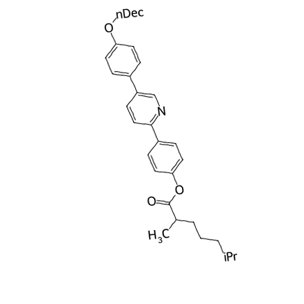 CCCCCCCCCCOc1ccc(-c2ccc(-c3ccc(OC(=O)C(C)CCCC(C)C)cc3)nc2)cc1